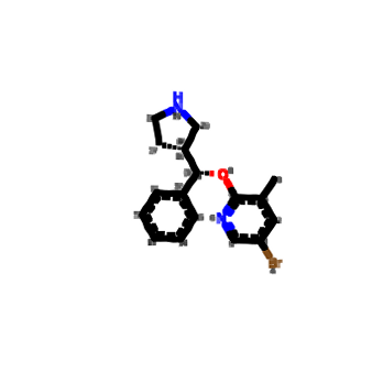 Cc1cc(Br)cnc1O[C@H](c1ccccc1)[C@@H]1CCNC1